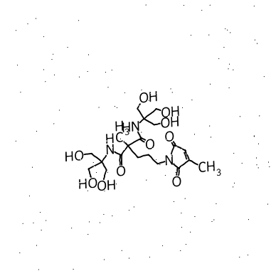 CC1=CC(=O)N(CCCC(C)(C(=O)NC(CO)(CO)CO)C(=O)NC(CO)(CO)CO)C1=O